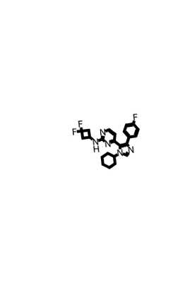 Fc1ccc(-c2ncn(C3CCCCC3)c2-c2ccnc(NC3CC(F)(F)C3)n2)cc1